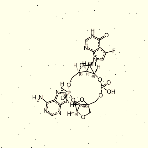 Nc1ncnc2c1ncn2[C@@H]1O[C@@]23CO[C@@H]1[C@@H]2OP(=O)(S)OC[C@H]1O[C@@H](n2cc(F)c4c(=O)[nH]cnc42)[C@H](OP(=O)(O)OC3)[C@@H]1O